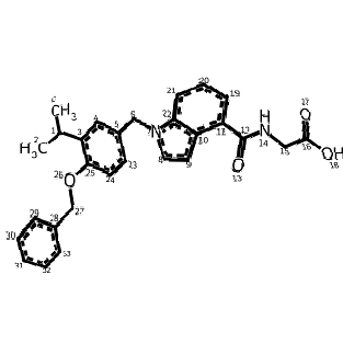 CC(C)c1cc(Cn2ccc3c(C(=O)NCC(=O)O)cccc32)ccc1OCc1ccccc1